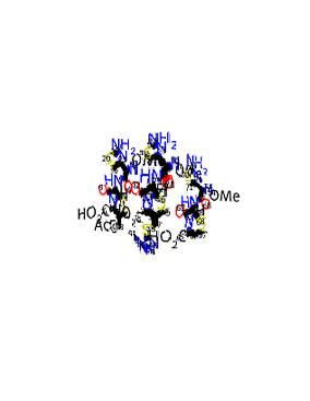 CO/N=C(/C(=O)N[C@@H]1C(=O)N2C(C(=O)O)=C(COC(C)=O)CS[C@H]12)c1csc(N)n1.CO/N=C(\C(=O)N[C@@H]1C(=O)N2C(C(=O)O)=C(CSc3nnnn3C)CS[C@H]12)c1csc(N)n1.CO/N=C(\C(=O)N[C@@H]1C(=O)N2C(C(=O)O)=CCS[C@H]12)c1csc(N)n1